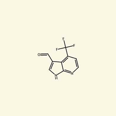 O=Cc1c[nH]c2nccc(C(F)(F)F)c12